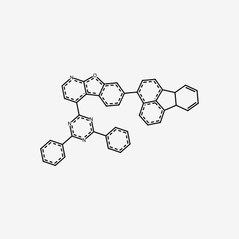 C1=CC2c3cccc4c(-c5ccc6c(c5)oc5nccc(-c7nc(-c8ccccc8)nc(-c8ccccc8)n7)c56)ccc(c34)C2C=C1